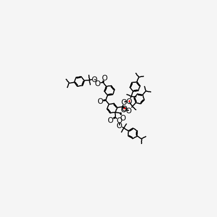 CC(C)c1ccc(C(C)(C)OOC(=O)C2=CC(C(=O)c3cccc(C(=O)OOC(C)(C)c4ccc(C(C)C)cc4)c3)C=CC2(C(=O)OOC(C)(C)c2ccc(C(C)C)cc2)C(=O)OOC(C)(C)c2ccc(C(C)C)cc2)cc1